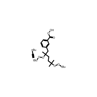 C#CCCCC.CC(C)(C)OOC(C)(C)CCC(C)(Cc1cccc(C(=O)OO)c1)OOC(C)(C)C